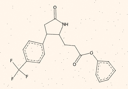 O=C1CC(c2ccc(C(F)(F)F)cc2)C(CCC(=O)Oc2ccccc2)N1